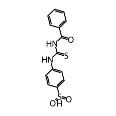 O=C(NC(=S)Nc1ccc([SH](=O)=O)cc1)c1ccccc1